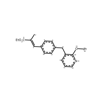 CCOC(=O)/C(C)=C/c1ccc(Cc2cccnc2OC(C)C)cc1